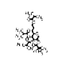 C=C(C)C(=O)OCCCC1OC[C@@H](OC(=O)C(=C)C)[C@@H](OC(=O)C(=C)C)[C@@H]1OC(=O)C(=C)C